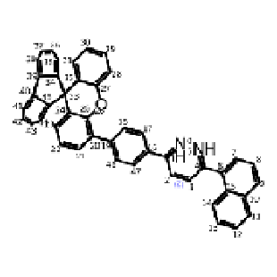 N=C(/C=C\C(=N)c1cccc2ccccc12)c1ccc(-c2cccc3c2Oc2ccccc2C32c3ccccc3-c3ccccc32)cc1